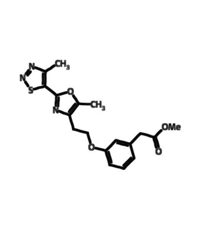 COC(=O)Cc1cccc(OCCc2nc(-c3snnc3C)oc2C)c1